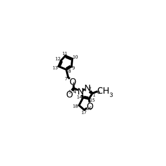 Cc1nn(C(=O)OCc2ccccc2)c2c1OCC2